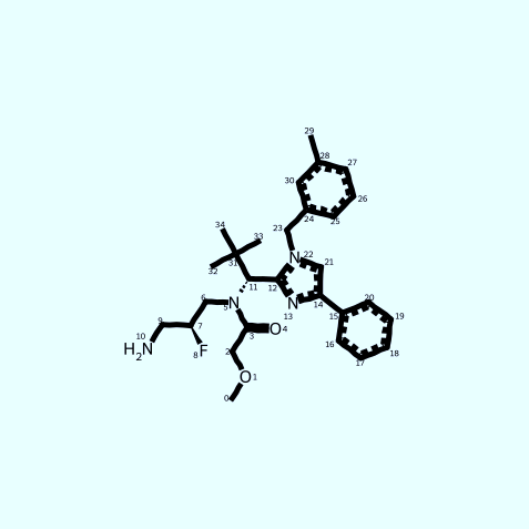 COCC(=O)N(C[C@@H](F)CN)[C@@H](c1nc(-c2ccccc2)cn1Cc1cccc(C)c1)C(C)(C)C